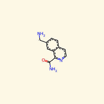 N[CH]c1ccc2ccnc(C(N)=O)c2c1